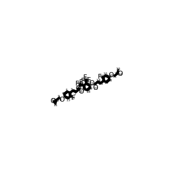 O=C(/C=C/c1ccc(OCC2CO2)cc1F)Oc1ccc(OC(=O)/C=C/c2ccc(OCC3CO3)cc2F)c(C(F)(F)F)c1C(F)(F)F